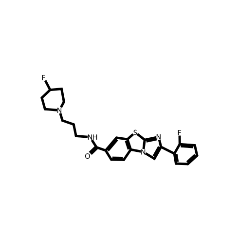 O=C(NCCCN1CCC(F)CC1)c1ccc2c(c1)sc1nc(-c3ccccc3F)cn12